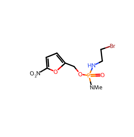 CNP(=O)(NCCBr)OCc1ccc([N+](=O)[O-])o1